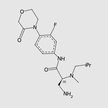 CC(C)CN(C)[C@@H](CN)C(=O)Nc1ccc(N2CCOCC2=O)c(F)c1